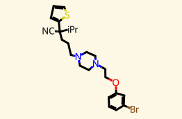 CC(C)C(C#N)(CCCN1CCN(CCOc2cccc(Br)c2)CC1)c1cccs1